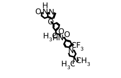 C[C@H]1c2cc(Oc3ccnc4c3CCC(=O)N4)ccc2O[C@H]1NC(=O)c1ccc(N2CCC(N(C)C)CC2)c(C(F)(F)F)c1